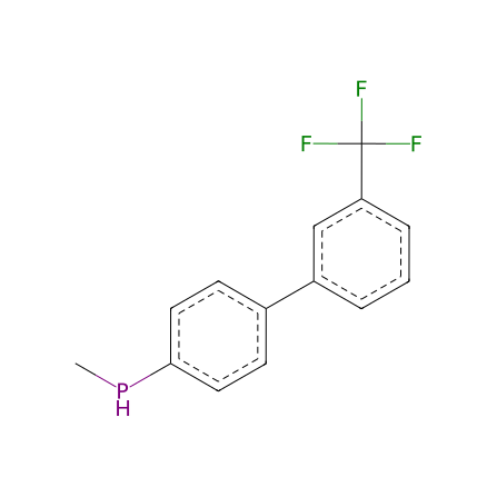 CPc1ccc(-c2cccc(C(F)(F)F)c2)cc1